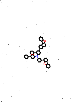 c1ccc(-c2ccc(N(c3cccc(-c4cccc5c4oc4ccccc45)c3)c3ccc(-c4ccc5c(ccc6oc7ccccc7c65)c4)cc3-c3ccccc3)cc2)cc1